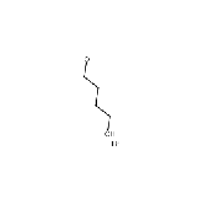 [Li+].[O-]CCCCO